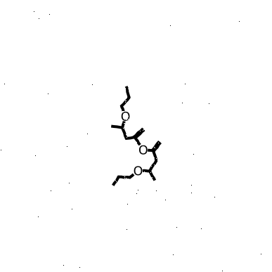 C=C(CC(C)OCCC)OC(=C)CC(C)OCCC